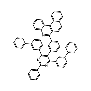 c1ccc(-c2cccc(-c3nc(-c4ccccc4)nc(-c4cccc(-c5ccccc5)c4)c3-c3cccc(-c4nc5ccccc5c5c4ccc4ccccc45)c3)c2)cc1